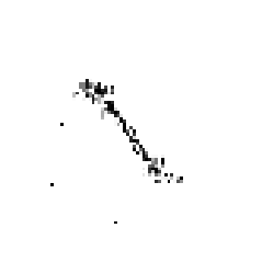 CCCCC(CCCC)C(=O)NCC(F)COCCOCCOCCNC(=O)COC